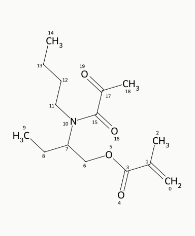 C=C(C)C(=O)OCC(CC)N(CCCC)C(=O)C(C)=O